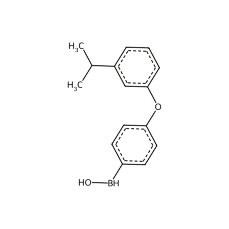 CC(C)c1cccc(Oc2ccc(BO)cc2)c1